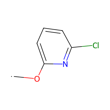 [CH2]Oc1cccc(Cl)n1